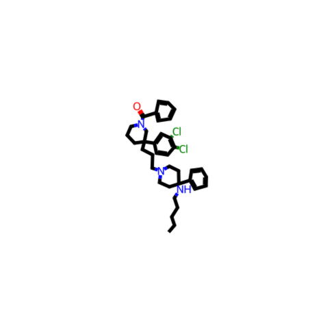 CCCCCNC1(c2ccccc2)CCN(CCCC2(c3ccc(Cl)c(Cl)c3)CCCN(C(=O)c3ccccc3)C2)CC1